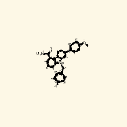 COc1ccc(-c2c[c]c3c4c(C(N)=O)cccc4n(Cc4ccc(I)cc4)c3c2)cc1